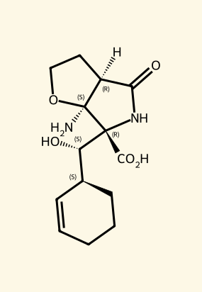 N[C@]12OCC[C@H]1C(=O)N[C@]2(C(=O)O)[C@@H](O)[C@@H]1C=CCCC1